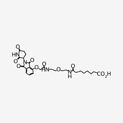 O=C(O)CCCCCCC(=O)NCCOCCNC(=O)COc1cccc2c1C(=O)N(C1CCC(=O)NC1=O)C2=O